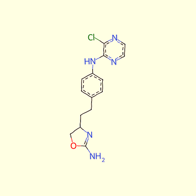 NC1=NC(CCc2ccc(Nc3nccnc3Cl)cc2)CO1